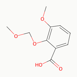 COCOc1c(OC)cccc1C(=O)O